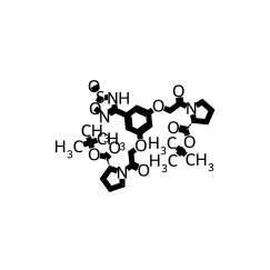 CC(C)(C)OC(=O)[C@H]1CCCN1C(=O)COc1cc(OCC(=O)N2CCC[C@@H]2C(=O)OC(C)(C)C)cc(C2=NOS(=O)N2)c1